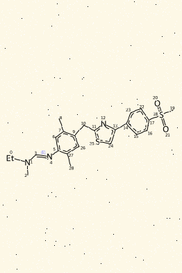 CCN(C)/C=N/c1cc(C)c(Cc2nc(-c3ccc(S(C)(=O)=O)cc3)cs2)cc1C